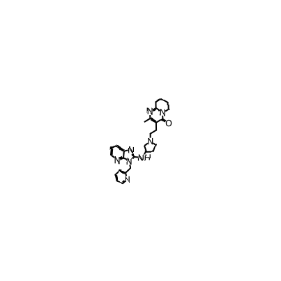 Cc1nc2n(c(=O)c1CCN1CCC(Nc3nc4cccnc4n3Cc3ccccn3)C1)CCCC2